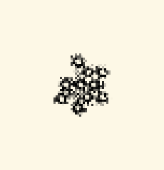 c1ccc(-c2cc(-c3c(-c4cccc5c4oc4ccccc45)cc(-c4cccc5c4oc4ccccc45)cc3-c3cccc4c3oc3ccccc34)nc(-c3ccccc3)n2)cc1